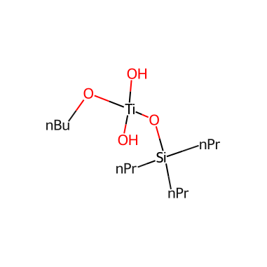 CCCC[O][Ti]([OH])([OH])[O][Si](CCC)(CCC)CCC